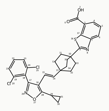 O=C(O)c1cccc2nc(C34CCC(C=Cc5c(-c6c(Cl)cccc6Cl)noc5C5CC5)(CC3)CC4)sc12